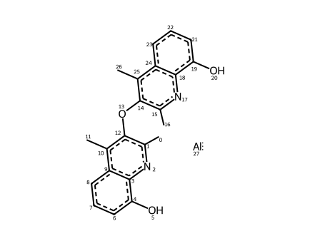 Cc1nc2c(O)cccc2c(C)c1Oc1c(C)nc2c(O)cccc2c1C.[Al]